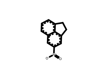 O=[N+]([O-])c1cc2c3c(cccc3c1)CC2